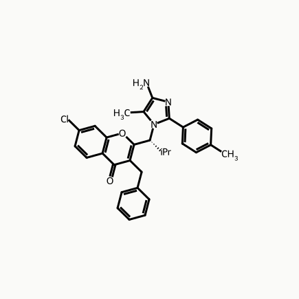 Cc1ccc(-c2nc(N)c(C)n2[C@@H](c2oc3cc(Cl)ccc3c(=O)c2Cc2ccccc2)C(C)C)cc1